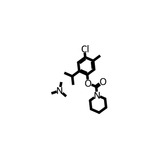 CN(C)C.Cc1cc(OC(=O)N2CCCCC2)c(C(C)C)cc1Cl